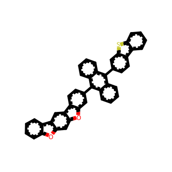 c1ccc2c(c1)oc1cc3oc4cc(-c5c6ccccc6c(-c6ccc7c(c6)sc6ccccc67)c6ccccc56)ccc4c3cc12